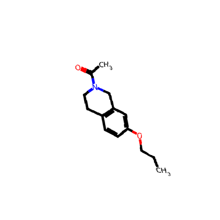 CCCOc1ccc2c(c1)CN(C(C)=O)CC2